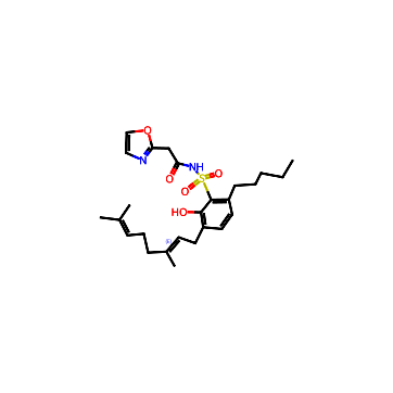 CCCCCc1ccc(C/C=C(\C)CCC=C(C)C)c(O)c1S(=O)(=O)NC(=O)Cc1ncco1